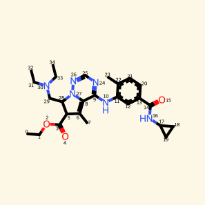 CCOC(=O)C1C(C)=C2C(Nc3cc(C(=O)NC4CC4)ccc3C)=NC=NN2C1CN(CC)CC